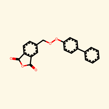 O=C1OC(=O)c2cc(COOc3ccc(-c4ccccc4)cc3)ccc21